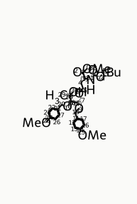 COC(=O)[C@H](CCOC[C@H](OCc1ccc(OC)cc1)[C@@H](OCc1ccc(OC)cc1)[C@H](C)O)NC(=O)OC(C)(C)C